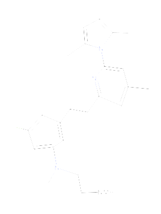 CNCCN(C)c1cc(F)cc(CCc2cc(C)cc(-n3c(C)ccc3C)n2)c1